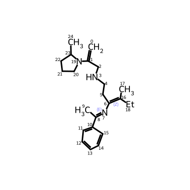 C=C(CNCCC(/N=C(\C)c1ccccc1)=C(\C)CC)N1CCCC1C